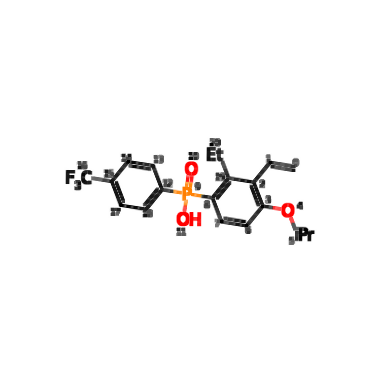 C=Cc1c(OC(C)C)ccc(P(=O)(O)c2ccc(C(F)(F)F)cc2)c1CC